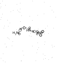 NC(=O)C1CCN(Cc2ccc(CCC(=O)NCCN3CCC(OC(=O)Nc4ccccc4-c4ccccc4)CC3)cc2)CC1